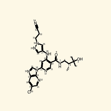 CC(C)(O)[C@H](F)CNC(=O)c1cnc(-n2cnc3cc(Cl)cnc32)cc1Nc1cnn(CCC#N)c1